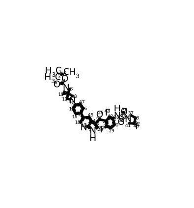 CC(C)(C)OC(=O)N1CC2(C1)CN(c1ccc(-c3cnc4[nH]cc(C(=O)c5c(F)ccc(NS(=O)(=O)N6CC[C@@H](F)C6)c5F)c4c3)cc1)C2